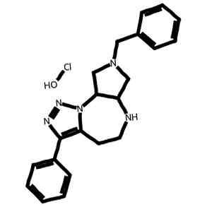 OCl.c1ccc(CN2CC3NCCc4c(-c5ccccc5)nnn4C3C2)cc1